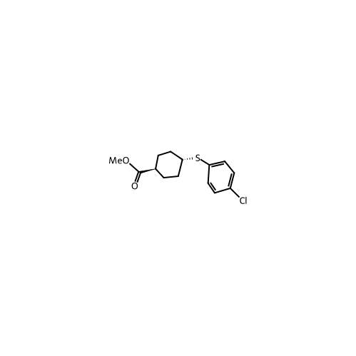 COC(=O)[C@H]1CC[C@H](Sc2ccc(Cl)cc2)CC1